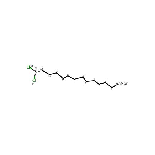 CCCCCCCCCCCCCCCCCCCCC[SiH](Cl)Cl